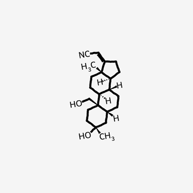 C[C@@]1(O)CC[C@@]2(CO)[C@H](CC[C@@H]3[C@@H]2CC[C@]2(C)/C(=C\C#N)CC[C@@H]32)C1